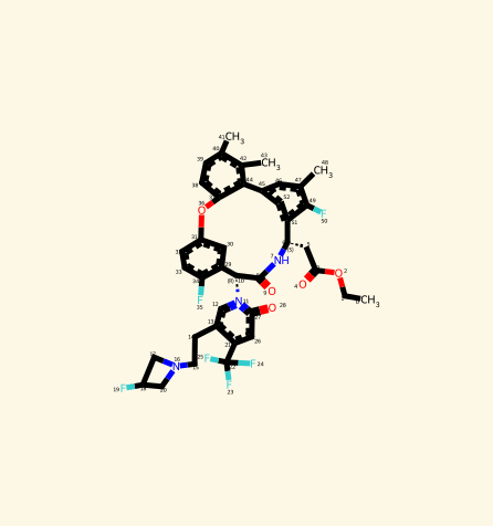 CCOC(=O)C[C@@H]1NC(=O)[C@H](n2cc(CCN3CC(F)C3)c(C(F)(F)F)cc2=O)c2cc(ccc2F)Oc2ccc(C)c(C)c2-c2cc(C)c(F)c1c2